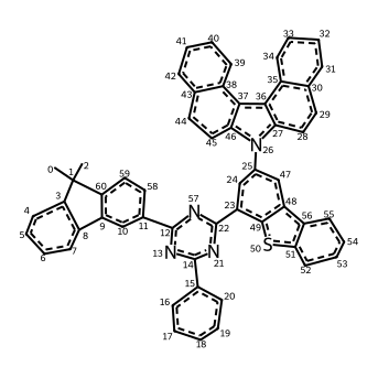 CC1(C)c2ccccc2-c2cc(-c3nc(-c4ccccc4)nc(-c4cc(-n5c6ccc7ccccc7c6c6c7ccccc7ccc65)cc5c4sc4ccccc45)n3)ccc21